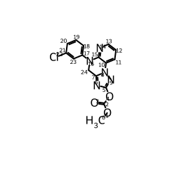 COC(=O)Oc1nc2n(n1)-c1cccnc1N(c1cccc(Cl)c1)C2